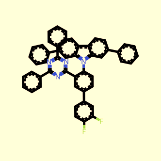 Fc1ccc(-c2ccc(-n3c4cc(-c5ccccc5)ccc4c4ccc(-c5ccccc5)cc43)c(-c3nc(-c4ccccc4)nc(-c4ccccc4)n3)c2)cc1F